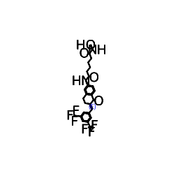 O=C(CCCCC(=O)Nc1ccc2c(c1)CC/C(=C\c1cc(C(F)(F)F)cc(C(F)(F)F)c1)C2=O)NO